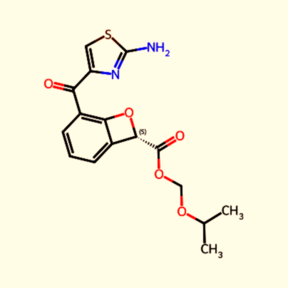 CC(C)OCOC(=O)[C@H]1Oc2c(C(=O)c3csc(N)n3)cccc21